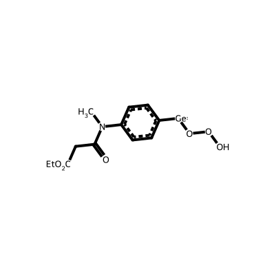 CCOC(=O)CC(=O)N(C)c1cc[c]([Ge][O]OO)cc1